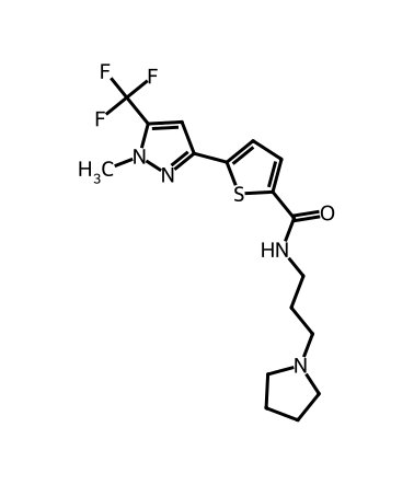 Cn1nc(-c2ccc(C(=O)NCCCN3CCCC3)s2)cc1C(F)(F)F